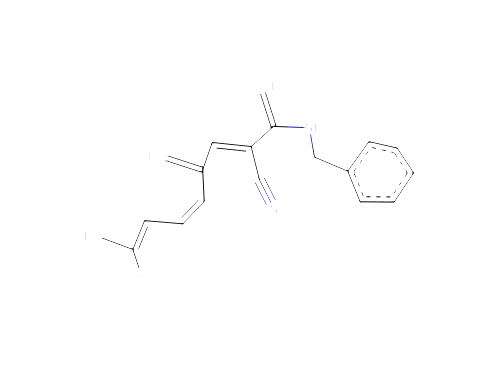 B/C(C)=C/C=C\C(=C)/C=C(\C#N)C(=C)NCc1ccccc1